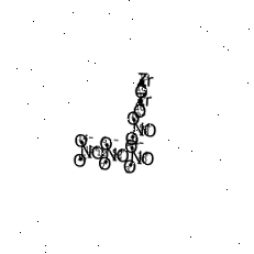 O=[N+]([O-])[O-].O=[N+]([O-])[O-].O=[N+]([O-])[O-].O=[N+]([O-])[O-].[O]=[Zr].[O]=[Zr]